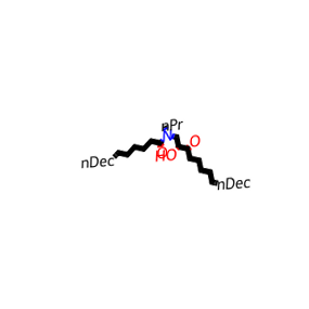 CCCCCCCCCCCCCCCC(=O)C(O)CN(CCC)C(=O)CCCCCCCCCCCCCCC